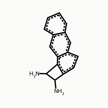 NC1c2ccc3cc4ccccc4cc3c2C1N